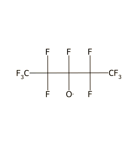 [O]C(F)(C(F)(F)C(F)(F)F)C(F)(F)C(F)(F)F